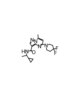 Cc1cc(N2CCC(F)(F)CC2)nc2c(C(=O)NC(C)C3CC3)cnn12